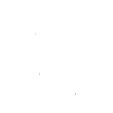 CCC(O)(O)C(=O)CC=C(C)CCCC(C)CCCC(C)CCCC(C)C